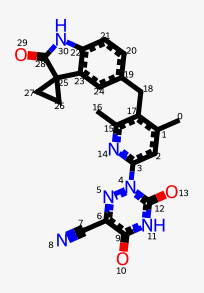 Cc1cc(-n2nc(C#N)c(=O)[nH]c2=O)nc(C)c1Cc1ccc2c(c1)C1(CC1)C(=O)N2